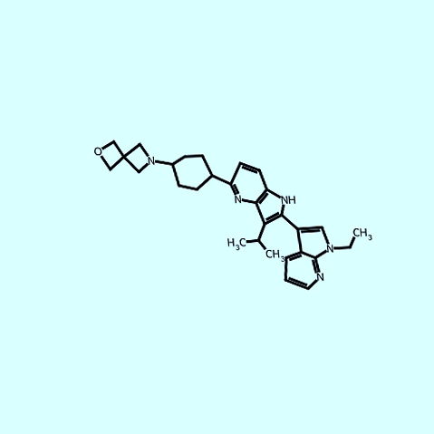 CCn1cc(-c2[nH]c3ccc(C4CCC(N5CC6(COC6)C5)CC4)nc3c2C(C)C)c2cccnc21